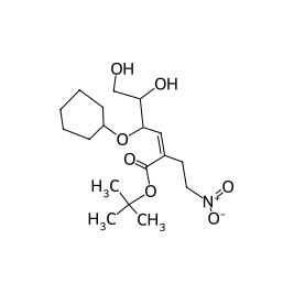 CC(C)(C)OC(=O)C(=CC(OC1CCCCC1)C(O)CO)CC[N+](=O)[O-]